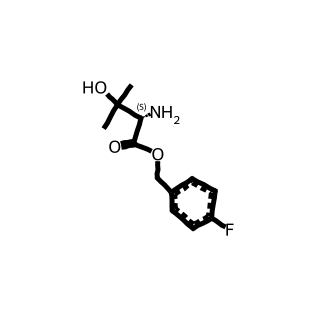 CC(C)(O)[C@H](N)C(=O)OCc1ccc(F)cc1